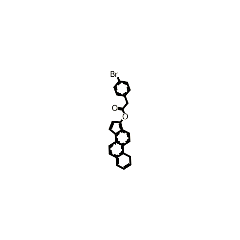 O=C(Cc1ccc(Br)cc1)OC1=c2ccc3c4c(ccc3c2C=C1)=CC=CC4